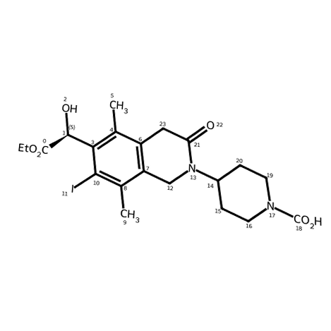 CCOC(=O)[C@@H](O)c1c(C)c2c(c(C)c1I)CN(C1CCN(C(=O)O)CC1)C(=O)C2